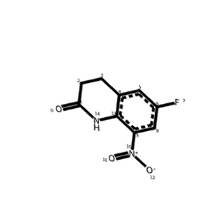 O=C1CCc2cc(F)cc([N+](=O)[O-])c2N1